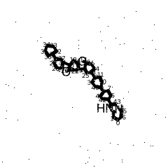 C1=CC2NC(c3ccc(-c4ccc(-c5ccc6oc7cc8c(cc7c6c5)oc5ccc(-c6ccccc6)cc58)cc4)cc3)=CN2C=C1